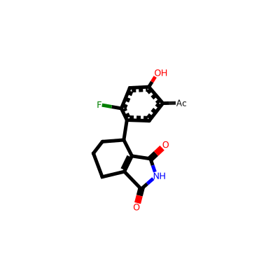 CC(=O)c1cc(C2CCCC3=C2C(=O)NC3=O)c(F)cc1O